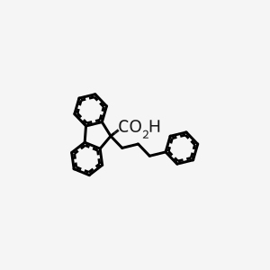 O=C(O)C1(CCCc2ccccc2)c2ccccc2-c2ccccc21